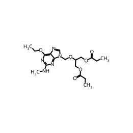 CCOc1nc(NC)nc2c1ncn2COC(COC(=O)CC)COC(=O)CC